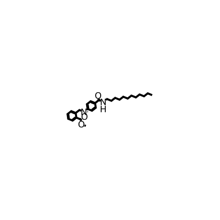 CCCCCCCCCCCCNC(=O)c1ccc([N]Cc2ccccc2C(=O)OC)cc1